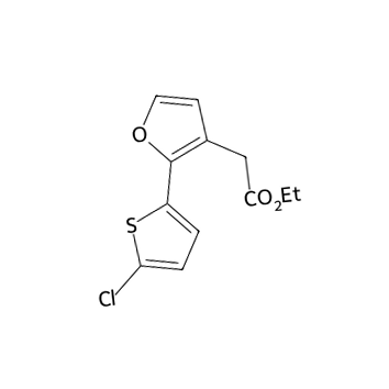 CCOC(=O)Cc1ccoc1-c1ccc(Cl)s1